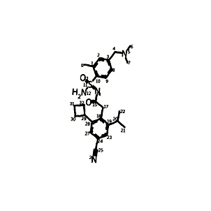 Cc1cc(CN(C)C)ccc1S(N)(=O)=NC(=O)Cc1c(C(C)C)cc(C#N)cc1C1CCC1